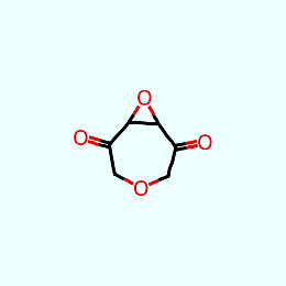 O=C1COCC(=O)C2OC12